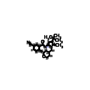 Cn1c(C(C)(C)C)c/c(=N\C(=O)c2cc(C#N)ccc2F)n1CC1CCOCC1